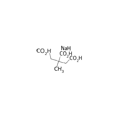 CC(CC(=O)O)(CC(=O)O)C(=O)O.[NaH]